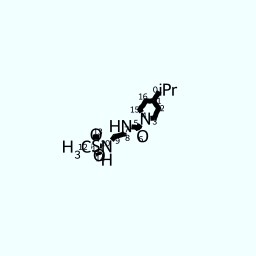 CC(C)C1CCN(C(=O)NCCNS(C)(=O)=O)CC1